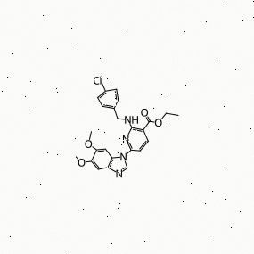 CCOC(=O)c1ccc(-n2cnc3cc(OC)c(OC)cc32)nc1NCc1ccc(Cl)cc1